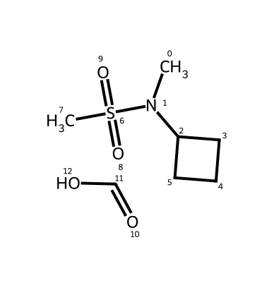 CN(C1CCC1)S(C)(=O)=O.O=CO